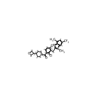 Cc1cc(C(F)(F)F)cc2c1nc(Cc1c(Cl)ccc(C(=O)N3CCC(C4COC4)CC3)c1Cl)n2C